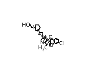 Cc1nn([C@H](C)c2ccc(Cl)cc2Cl)c2nc(N3CC([C@H]4CCCN(CCO)C4)C3)cnc12